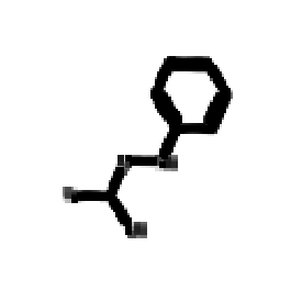 CCC(O)ONc1ccccc1